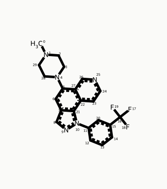 CN1CCN(c2cc3cnn(-c4cccc(C(F)(F)F)c4)c3c3ccncc23)CC1